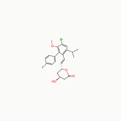 COc1c(Br)cc(C(C)C)c(C=C[C@H]2C[C@H](O)CC(=O)O2)c1-c1ccc(F)cc1